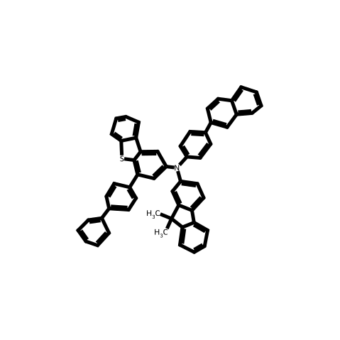 CC1(C)c2ccccc2-c2ccc(N(c3ccc(-c4ccc5ccccc5c4)cc3)c3cc(-c4ccc(-c5ccccc5)cc4)c4sc5ccccc5c4c3)cc21